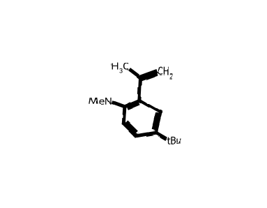 C=C(C)c1cc(C(C)(C)C)ccc1NC